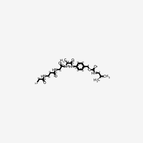 CC(C)CNC(=O)OCc1ccc(NC(=O)[C@H](C)NC(=O)CNC(=O)CCNC(=O)CI)cc1